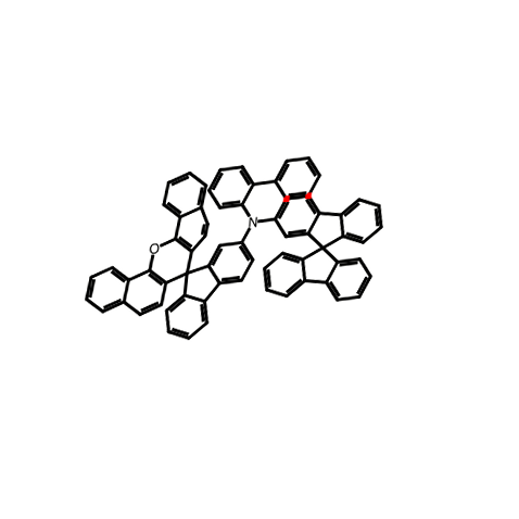 c1ccc(-c2ccccc2N(c2ccc3c(c2)C2(c4ccccc4-c4ccccc42)c2ccccc2-3)c2ccc3c(c2)C2(c4ccccc4-3)c3ccc4ccccc4c3Oc3c2ccc2ccccc32)cc1